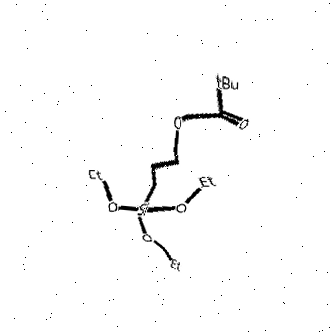 CCO[Si](CCOC(=O)C(C)(C)C)(OCC)OCC